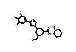 O=C(N[C@H]1CCCC[C@@H]1O)C1CC(n2cc(-c3cc(F)c(F)c(F)c3)nn2)CC(CO)O1